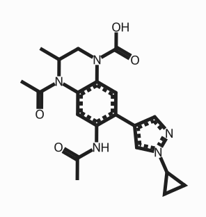 CC(=O)Nc1cc2c(cc1-c1cnn(C3CC3)c1)N(C(=O)O)CC(C)N2C(C)=O